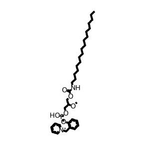 CCCCCCCCCCCCCCCCCCNC(=O)OCC(COP(O)Oc1ccccc1C[n+]1ccccc1)OC